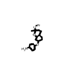 CC(C)OC1(C)CC=C2CC=C(Oc3ccc(N)cc3)C=C2O1